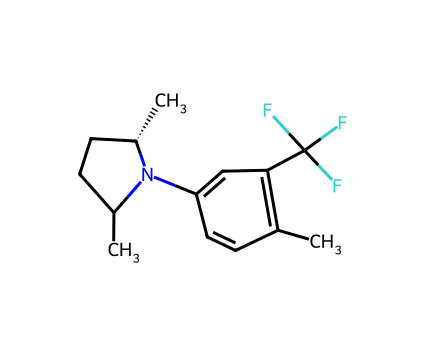 Cc1ccc(N2C(C)CC[C@@H]2C)cc1C(F)(F)F